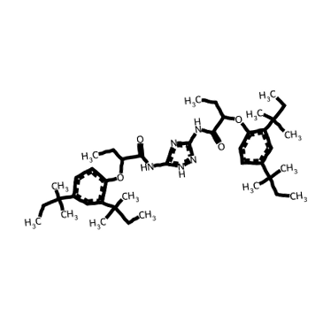 CCC(Oc1ccc(C(C)(C)CC)cc1C(C)(C)CC)C(=O)Nc1n[nH]c(NC(=O)C(CC)Oc2ccc(C(C)(C)CC)cc2C(C)(C)CC)n1